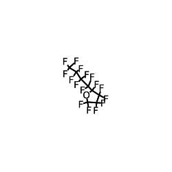 FC(F)(F)C(F)(F)C(F)(F)C(F)(F)C1(F)OC(F)(F)C(F)(F)C1(F)F